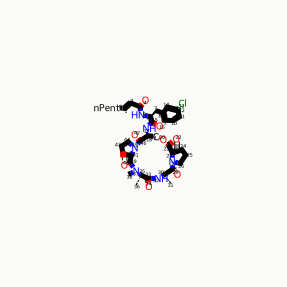 CCCCC/C=C/C(=O)N[C@@H](Cc1cccc(Cl)c1)C(=O)N[C@H]1COC(=O)[C@@H]2CCCN2C(=O)[C@H](C)NC(=O)[C@H](C)N(C)C(=O)[C@@H]2CCCN2C1=O